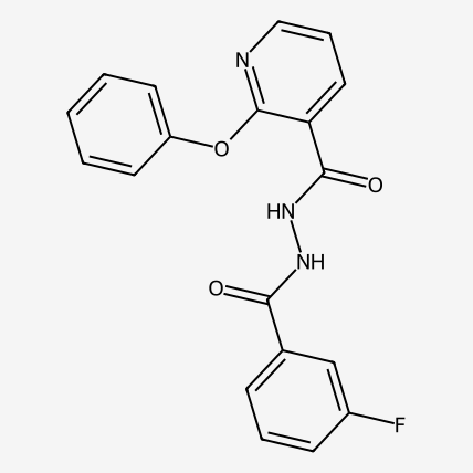 O=C(NNC(=O)c1cccnc1Oc1ccccc1)c1cccc(F)c1